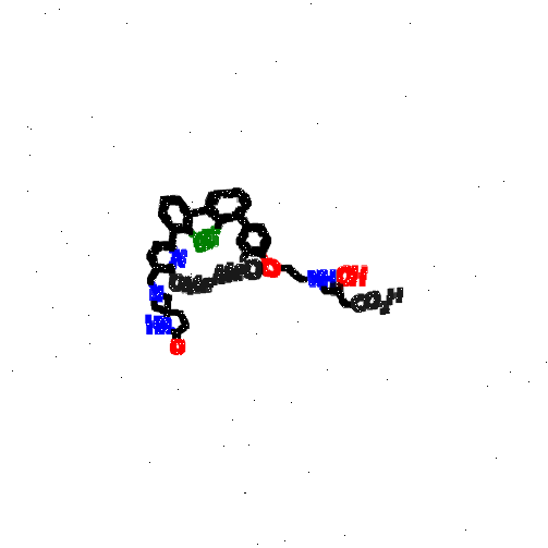 COc1cc(-c2cccc(-c3cccc(-c4ccc(CN5CC6(CCC(=O)N6)C5)c(OC)n4)c3Cl)c2Cl)ccc1OCCNC[C@@H](O)CC(=O)O